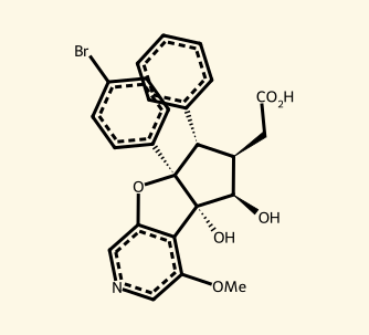 COc1cncc2c1[C@]1(O)[C@H](O)[C@H](CC(=O)O)[C@@H](c3ccccc3)[C@]1(c1ccc(Br)cc1)O2